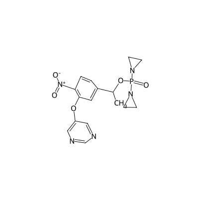 CC(OP(=O)(N1CC1)N1CC1)c1ccc([N+](=O)[O-])c(Oc2cncnc2)c1